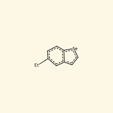 CCc1ccc2[se]ccc2c1